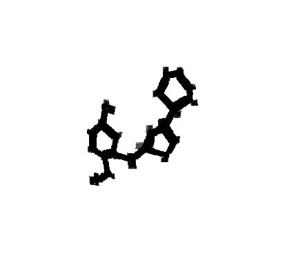 CC(C)Oc1ccc(C#N)cc1Nc1nc(-c2cccnc2)cs1